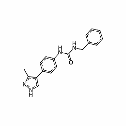 Cc1n[nH]cc1-c1ccc(NC(=O)NCc2ccccc2)cc1